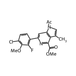 COC(=O)c1nc(-c2ccc(Cl)c(OC)c2F)cc2c1c(C)cn2C(C)=O